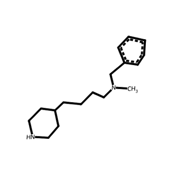 CN(CCCCC1CCNCC1)Cc1ccccc1